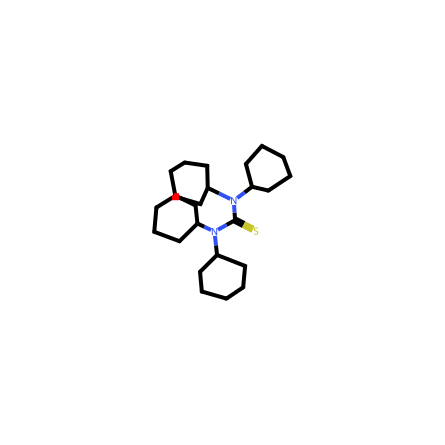 S=C(N(C1CCCCC1)C1CCCCC1)N(C1CCCCC1)C1CCCCC1